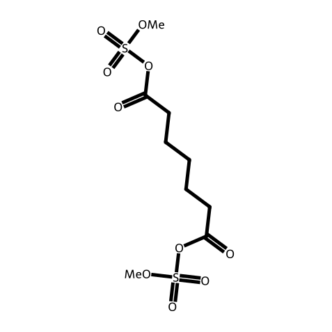 COS(=O)(=O)OC(=O)CCCCCC(=O)OS(=O)(=O)OC